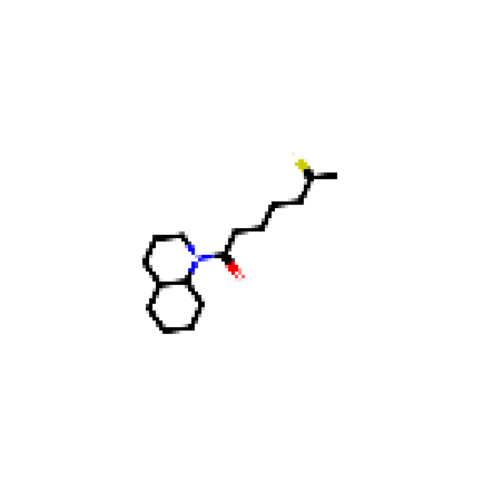 CC(=S)CCCCC(=O)N1CCCC2CCCCC21